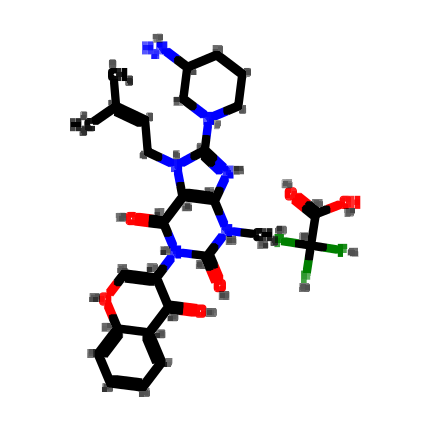 CC(C)=CCn1c(N2CCCC(N)C2)nc2c1c(=O)n(-c1coc3ccccc3c1=O)c(=O)n2C.O=C(O)C(F)(F)F